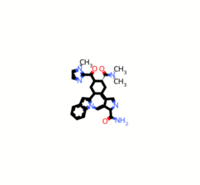 CN(C)C(=O)[C@@H]1CC2=C3C=NC(C(N)=O)C3=Cn3c(cc4ccccc43)C2CC1C(=O)c1nccn1C